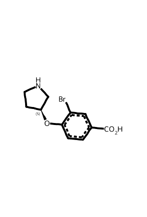 O=C(O)c1ccc(O[C@H]2CCNC2)c(Br)c1